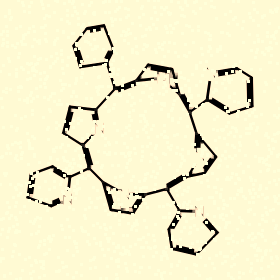 C1=Cc2nc1c(-c1ccccc1)c1ccc([nH]1)c(-c1ccccn1)c1nc(c(-c3ccccn3)c3ccc([nH]3)c2-c2ccccn2)C=C1